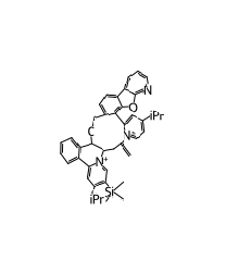 C=C1CC2C(CCc3ccc4c(oc5ncccc54)c3-c3cc(C(C)C)cc[n+]31)c1ccccc1-c1cc(C(C)C)c([Si](C)(C)C)c[n+]12